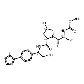 Cc1ncsc1-c1ccc([C@H](CO)NC(=O)[C@@H]2C[C@@H](O)CN2C(=O)[C@@H](NC(=O)OC(C)(C)C)C(C)C)cc1